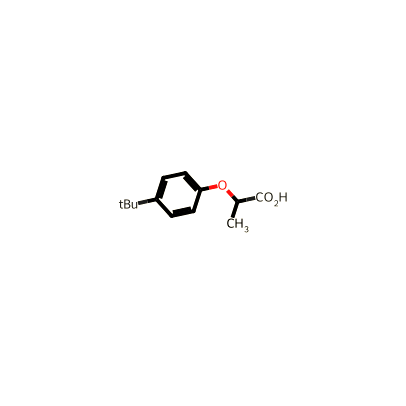 CC(Oc1ccc(C(C)(C)C)cc1)C(=O)O